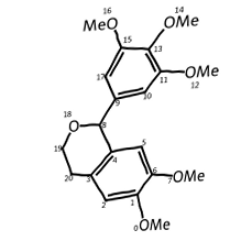 COc1cc2c(cc1OC)C(c1cc(OC)c(OC)c(OC)c1)OCC2